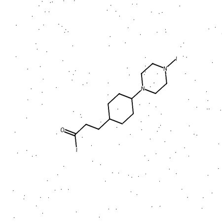 O=C(I)CCC1CCC(N2CCN(I)CC2)CC1